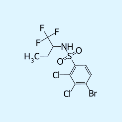 CCC(NS(=O)(=O)c1ccc(Br)c(Cl)c1Cl)C(F)(F)F